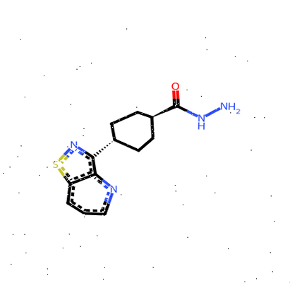 NNC(=O)[C@H]1CC[C@H](c2nsc3cccnc32)CC1